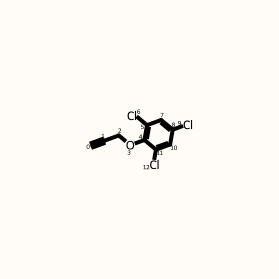 C#CCOc1c(Cl)cc(Cl)cc1Cl